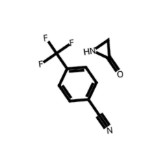 N#Cc1ccc(C(F)(F)F)cc1.O=C1CN1